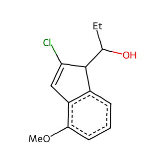 CCC(O)C1C(Cl)=Cc2c(OC)cccc21